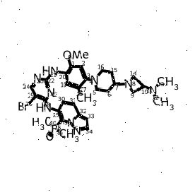 COc1cc(N2CCC(N3CC(N(C)C)C3)CC2)c(C)cc1Nc1ncc(Br)c(Nc2ccc3ccnn3c2P(C)(C)=O)n1